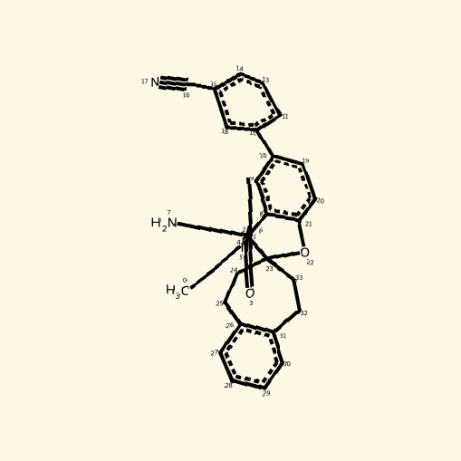 CN1C(=O)C2(N=C1N)c1cc(-c3cccc(C#N)c3)ccc1OC21CCc2ccccc2CC1